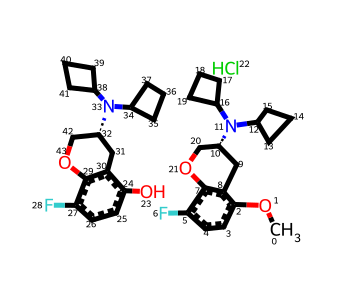 COc1ccc(F)c2c1C[C@@H](N(C1CCC1)C1CCC1)CO2.Cl.Oc1ccc(F)c2c1C[C@@H](N(C1CCC1)C1CCC1)CO2